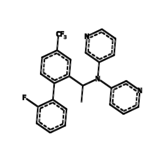 CC(c1cc(C(F)(F)F)ccc1-c1ccccc1F)N(c1cccnc1)c1cccnc1